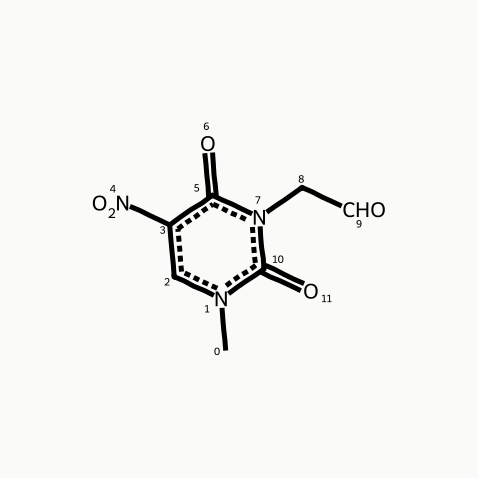 Cn1cc([N+](=O)[O-])c(=O)n(CC=O)c1=O